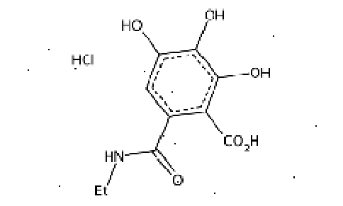 CCNC(=O)c1cc(O)c(O)c(O)c1C(=O)O.Cl